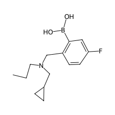 CCCN(Cc1ccc(F)cc1B(O)O)CC1CC1